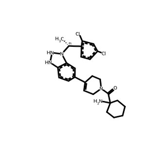 C[C@H](c1ccc(Cl)cc1Cl)N1NNc2ccc(C3=CCN(C(=O)C4(N)CCCCC4)CC3)cc21